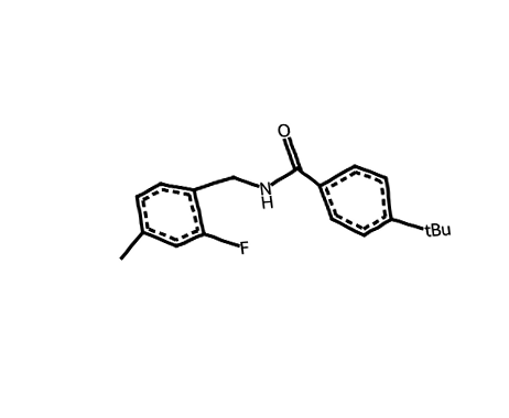 Cc1ccc(CNC(=O)c2ccc(C(C)(C)C)cc2)c(F)c1